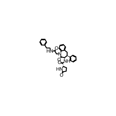 O=C(CN1C(=O)[C@@H](NC(=O)[C@@H]2CCC(=O)N2)[C@H](c2ccccc2)Cc2ccccc21)NCCc1ccccc1